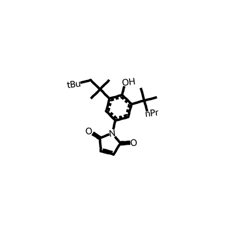 CCCC(C)(C)c1cc(N2C(=O)C=CC2=O)cc(C(C)(C)CC(C)(C)C)c1O